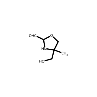 CC1(CO)COC(C=O)N1